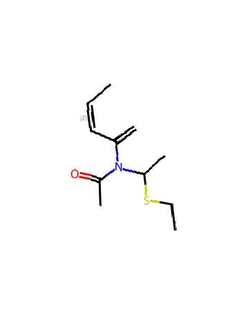 C=C(/C=C\C)N(C(C)=O)C(C)SCC